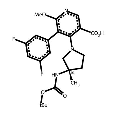 COc1ncc(C(=O)O)c(N2CC[C@](C)(NC(=O)OC(C)(C)C)C2)c1-c1cc(F)cc(F)c1